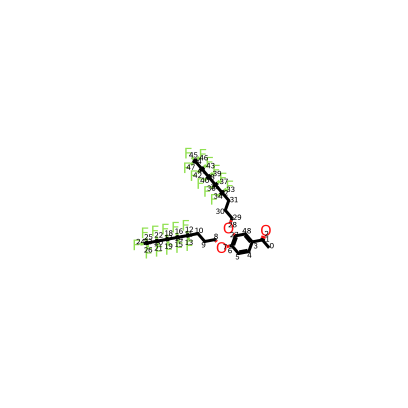 CC(=O)c1ccc(OCCCC(F)(F)C(F)(F)C(F)(F)C(F)(F)C(F)(F)F)c(OCCCC(F)(F)C(F)(F)C(F)(F)C(F)(F)C(F)(F)F)c1